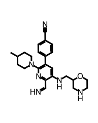 CC1CCN(c2nc(C=N)c(NCC3CNCCO3)cc2-c2ccc(C#N)cc2)CC1